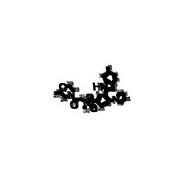 Cc1ccc2cc(-c3cc(S(=O)(=O)N(C)CC(=O)N4CCOC(C)C4)ccc3N3CCCC3)[nH]c2c1